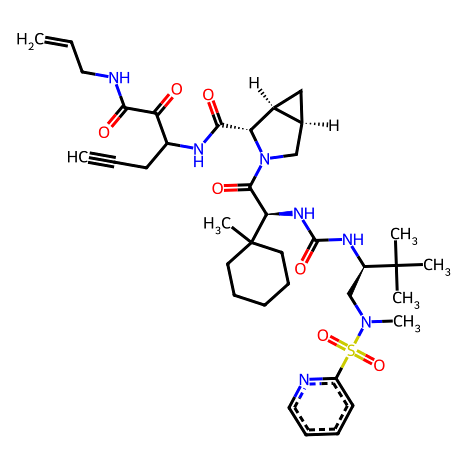 C#CCC(NC(=O)[C@@H]1[C@H]2C[C@H]2CN1C(=O)[C@@H](NC(=O)N[C@H](CN(C)S(=O)(=O)c1ccccn1)C(C)(C)C)C1(C)CCCCC1)C(=O)C(=O)NCC=C